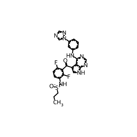 CCC[S+]([O-])Nc1ccc(F)c(C(=O)c2c[nH]c3ncnc(Nc4cccc(-n5cncn5)c4)c23)c1F